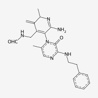 C=C1C(CNC=O)=C(n2c(C)cnc(NCCc3ccccc3)c2=O)C(N)=NC1C